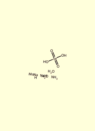 N.O.O.O=[Se](=O)(O)O.[Mo].[NaH].[NaH]